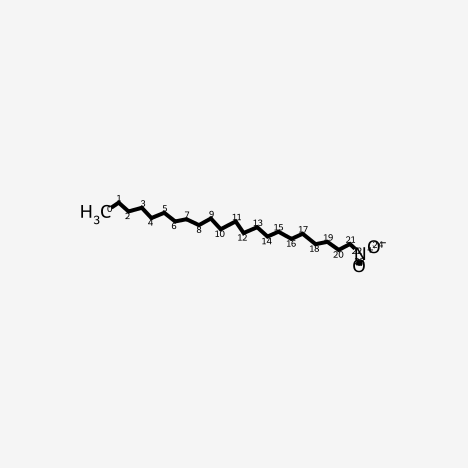 CCCCCCCCCCCCCCCCCCCCCC[N+](=O)[O-]